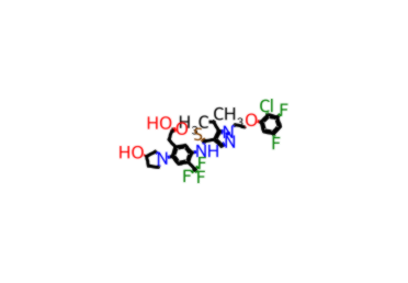 CC(C)c1c(C(=S)Nc2cc(CC(=O)O)c(N3CC[C@@H](O)C3)cc2C(F)(F)F)cnn1CCOc1cc(F)cc(F)c1Cl